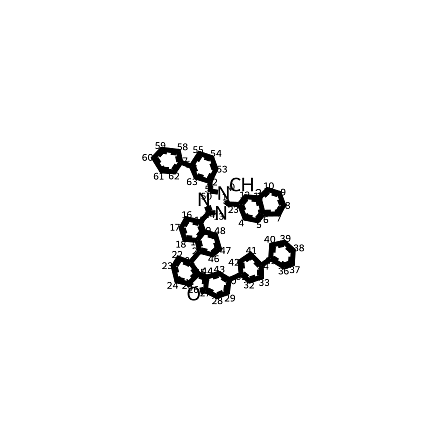 CN1C(c2ccc3ccccc3c2)=NC(c2cccc3c(-c4cccc5oc6ccc(-c7ccc(-c8ccccc8)cc7)cc6c45)cccc23)=NC1c1cccc(-c2ccccc2)c1